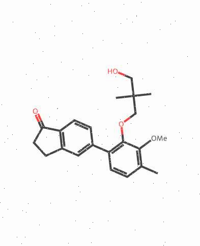 COc1c(C)ccc(-c2ccc3c(c2)CCC3=O)c1OCC(C)(C)CO